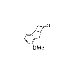 COc1cccc2c1CC1C(=O)CC21